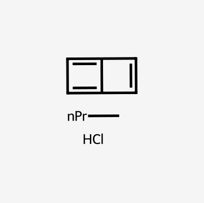 CCCC.Cl.c1cc2ccc1-2